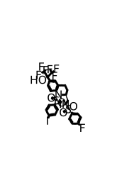 O=S(=O)(NC[C@@H]1CCc2cc(C(O)(C(F)(F)F)C(F)(F)F)ccc2N1S(=O)(=O)c1ccc(I)cc1)c1ccc(F)cc1